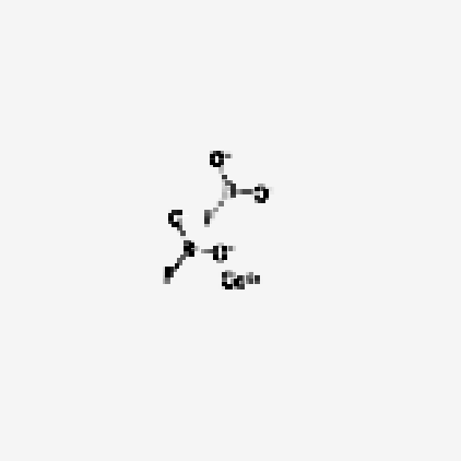 [Ge+4].[O-]B([O-])F.[O-]B([O-])F